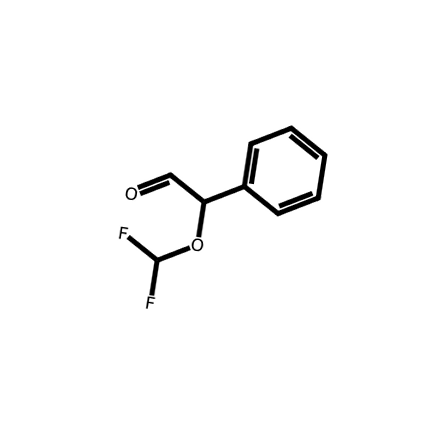 O=CC(OC(F)F)c1ccccc1